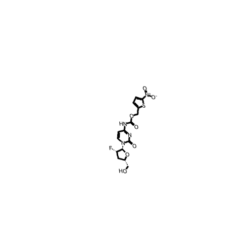 O=C(Nc1ccn([C@@H]2O[C@H](CO)C[C@@H]2F)c(=O)n1)OCc1ccc([N+](=O)[O-])s1